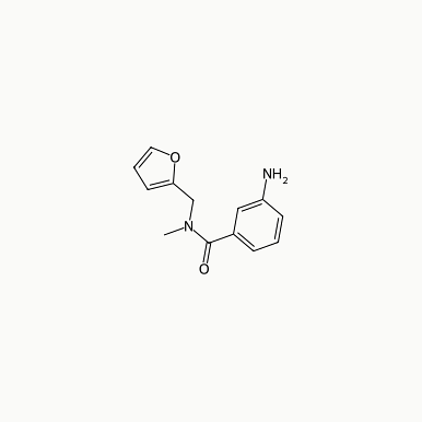 CN(Cc1ccco1)C(=O)c1cccc(N)c1